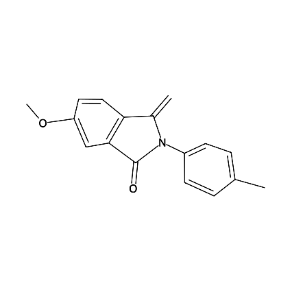 C=C1c2ccc(OC)cc2C(=O)N1c1ccc(C)cc1